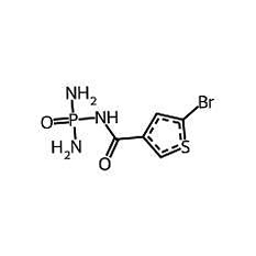 NP(N)(=O)NC(=O)c1csc(Br)c1